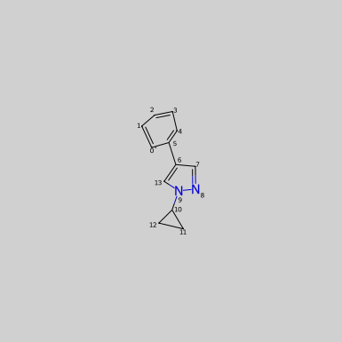 [c]1ccccc1-c1cnn(C2CC2)c1